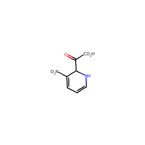 O=C(O)C(=O)C1NC=CC=C1[N+](=O)[O-]